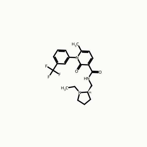 CCN1CCC[C@@H]1CNC(=O)c1ccc(C)n(-c2cccc(C(F)(F)F)c2)c1=O